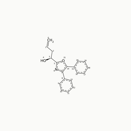 C=CC[C@H](O)c1nc(-c2ccccc2)c(-c2ccccc2)o1